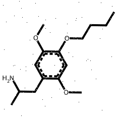 CCCCOc1cc(OC)c(CC(C)N)cc1OC